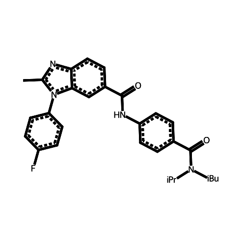 CCC(C)N(C(=O)c1ccc(NC(=O)c2ccc3nc(C)n(-c4ccc(F)cc4)c3c2)cc1)C(C)C